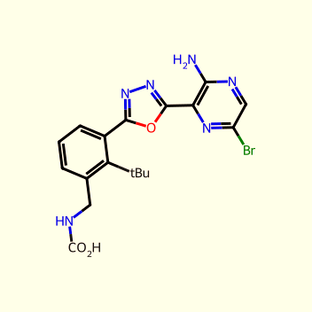 CC(C)(C)c1c(CNC(=O)O)cccc1-c1nnc(-c2nc(Br)cnc2N)o1